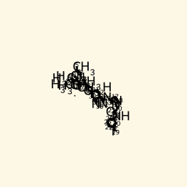 [CH2]C(N(CCC)CCCOc1ccc2c(Nc3cnn(CC(=O)Nc4cccc(F)c4)c3)ncnc2c1)(C(C)(C)C)C(C)(C)C